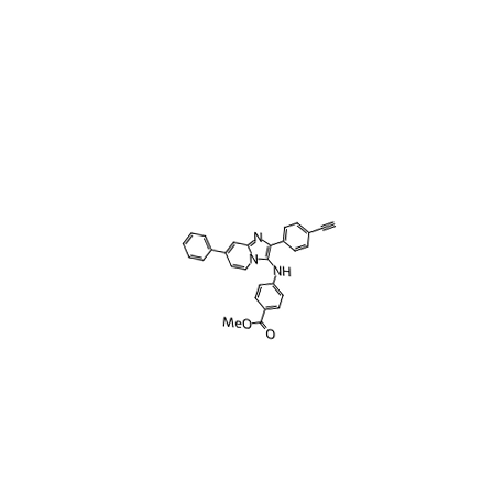 C#Cc1ccc(-c2nc3cc(-c4ccccc4)ccn3c2Nc2ccc(C(=O)OC)cc2)cc1